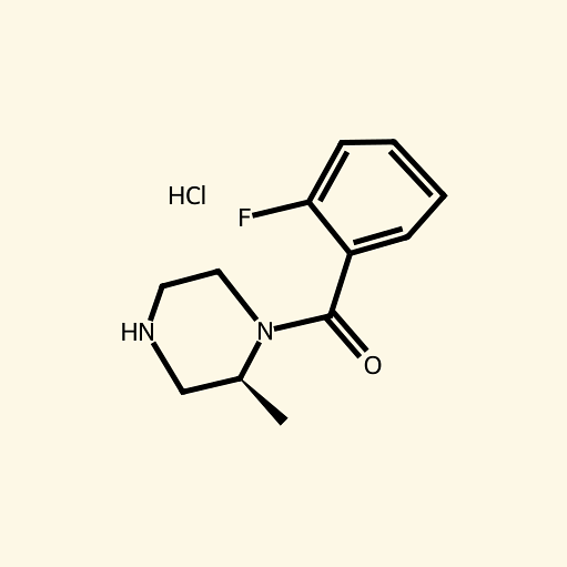 C[C@H]1CNCCN1C(=O)c1ccccc1F.Cl